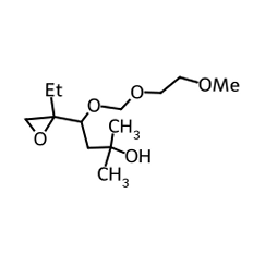 CCC1(C(CC(C)(C)O)OCOCCOC)CO1